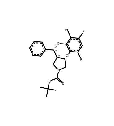 CC(C)(C)OC(=O)N1CC[C@H]([C@@H](Oc2c(Cl)c(F)cc(F)c2Cl)c2ccccc2)C1